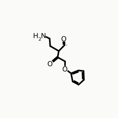 NCCC([C]=O)C(=O)COc1ccccc1